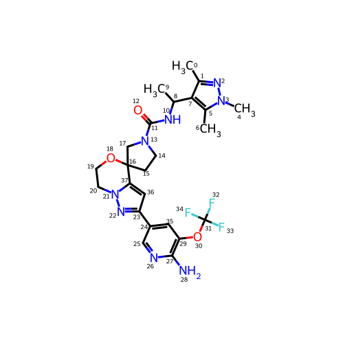 Cc1nn(C)c(C)c1C(C)NC(=O)N1CCC2(C1)OCCn1nc(-c3cnc(N)c(OC(F)(F)F)c3)cc12